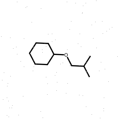 CC(C)[CH]OC1CCCCC1